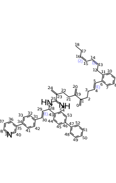 C=C(CC/C=C/c1ccccc1C/C=C\C=C/CC)C(=C)CCC(=C)C(=N)NC(/C=C/c1ccc(-c2cccnc2)cc1)c1ccc(-c2ccccc2)cc1